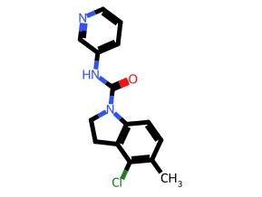 Cc1ccc2c(c1Cl)CCN2C(=O)Nc1cccnc1